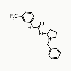 O=C(N=C1CCCN1Cc1ccccc1)Nc1cccc(C(F)(F)F)c1